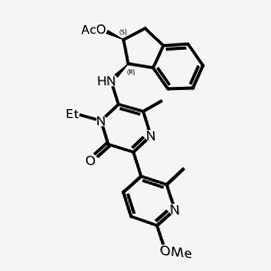 CCn1c(N[C@@H]2c3ccccc3C[C@@H]2OC(C)=O)c(C)nc(-c2ccc(OC)nc2C)c1=O